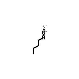 C[CH]CCN=[N+]=[N-]